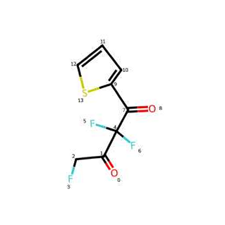 O=C(CF)C(F)(F)C(=O)c1cccs1